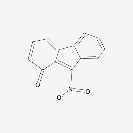 O=C1C=CC=C2C1=C([N+](=O)[O-])c1ccccc12